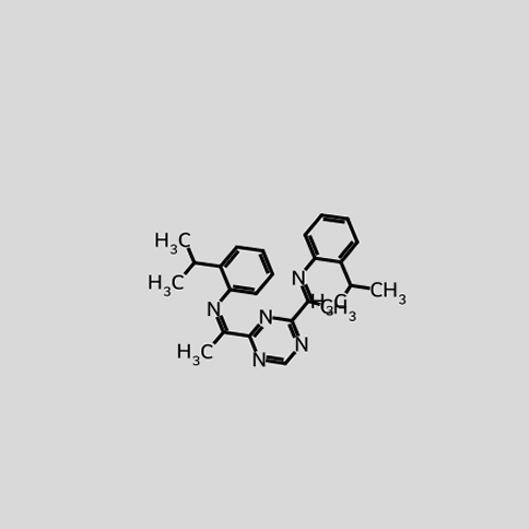 CC(=Nc1ccccc1C(C)C)c1ncnc(C(C)=Nc2ccccc2C(C)C)n1